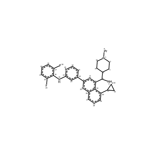 CC(C)N1CCC(C(N)c2nc(-c3ccnc(Nc4c(F)cccc4F)c3)nc3cncc(C4CC4)c23)CC1